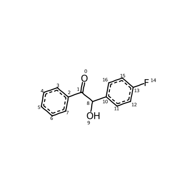 O=C(c1ccccc1)C(O)c1ccc(F)cc1